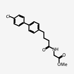 COC(=O)CNC(=O)CCCc1ccc(-c2ccc(Cl)cc2)cc1